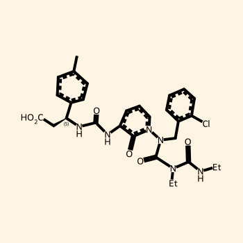 CCNC(=O)N(CC)C(=O)N(Cc1ccccc1Cl)n1cccc(NC(=O)N[C@@H](CC(=O)O)c2ccc(C)cc2)c1=O